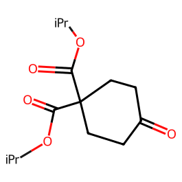 CC(C)OC(=O)C1(C(=O)OC(C)C)CCC(=O)CC1